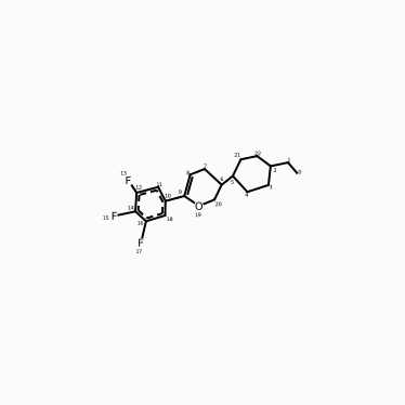 CCC1CCC(C2CC=C(c3cc(F)c(F)c(F)c3)OC2)CC1